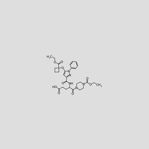 CCOC(=O)N1CCN(C(=O)C(CCC(=O)O)NC(=O)c2cc(OC3(C(=O)OCC)CCC3)n(-c3ccccc3)n2)CC1